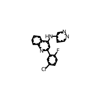 Fc1ccc(Cl)cc1-c1cc(Nc2ccnnc2)c2ccccc2n1